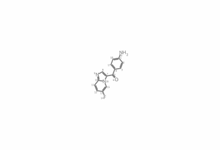 Nc1ccc(C(=O)c2cnc3ccc(F)cn23)cc1